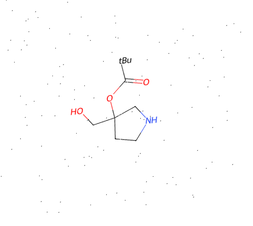 CC(C)(C)C(=O)OC1(CO)CCNC1